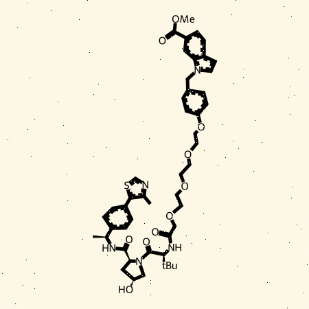 COC(=O)c1ccc2ccn(Cc3ccc(OCCOCCOCCOCC(=O)N[C@H](C(=O)N4C[C@H](O)C[C@H]4C(=O)N[C@@H](C)c4ccc(-c5scnc5C)cc4)C(C)(C)C)cc3)c2c1